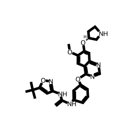 C=C(Nc1cccc(Oc2ncnc3cc(O[C@@H]4CCNC4)c(OC)cc23)c1)Nc1cc(C(C)(C)C)on1